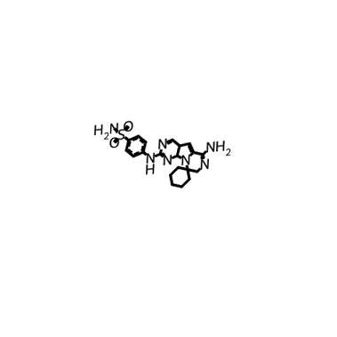 NC1=NCC2(CCCCC2)N2C1=CC1C=NC(Nc3ccc(S(N)(=O)=O)cc3)=NC12